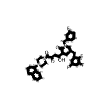 O=C(C=C(O)c1cc(Cc2cc(F)cc(F)c2F)cn(Cc2cccc(F)c2)c1=O)C(=O)N1CCN(c2cccc3ccccc23)CC1